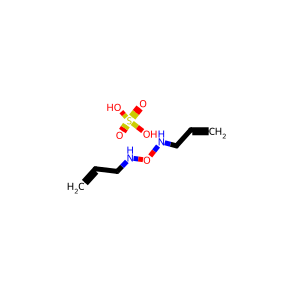 C=CCNONCC=C.O=S(=O)(O)O